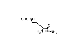 NNC(=O)C(N)CCCCNC=O